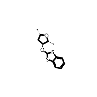 C[C@H]1C[C@@H](OC2Sc3ccccc3S2)[C@@H](C)O1